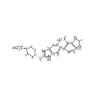 O=C(O)[C@H]1CC[C@H](Oc2nc3cc(Cl)c(-c4ccc5c(c4F)OCO5)nc3[nH]2)CC1